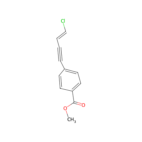 COC(=O)c1ccc(C#CC=CCl)cc1